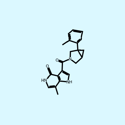 Cc1ccccc1C12CC1CN(C(=O)c1c[nH]c3c(C)c[nH]c(=O)c13)C2